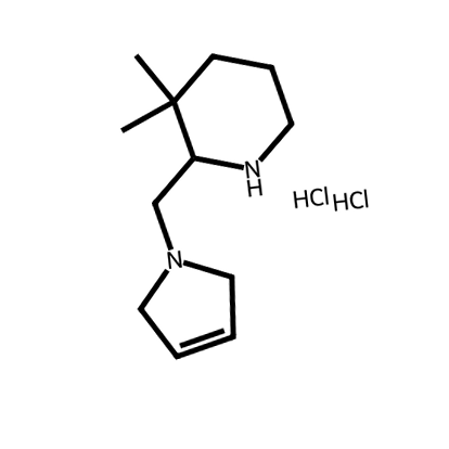 CC1(C)CCCNC1CN1CC=CC1.Cl.Cl